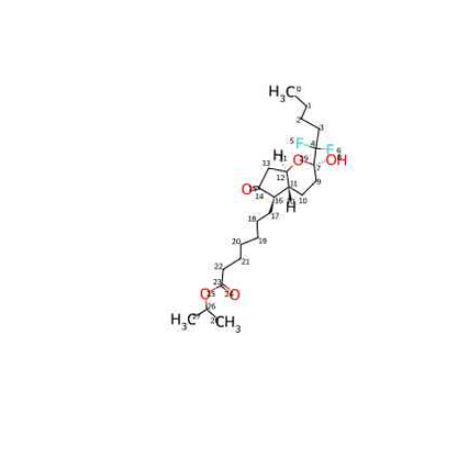 CCCCC(F)(F)[C@@]1(O)CC[C@H]2[C@@H](CC(=O)[C@@H]2CCCCCCC(=O)OC(C)C)O1